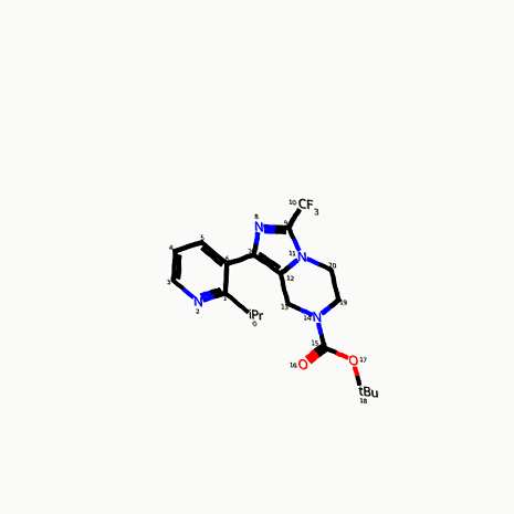 CC(C)c1ncccc1-c1nc(C(F)(F)F)n2c1CN(C(=O)OC(C)(C)C)CC2